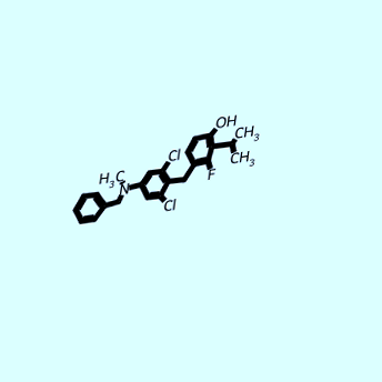 CC(C)c1c(O)ccc(Cc2c(Cl)cc(N(C)Cc3ccccc3)cc2Cl)c1F